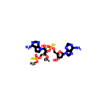 CO[C@H](COP(=O)(S)OC)[C@@H](OP(=O)(S)OC[C@H]1O[C@@H](n2cnc3c(N)ncnc32)C[C@@H]1O)[C@@H](O)n1ccc2c(N)ncnc21